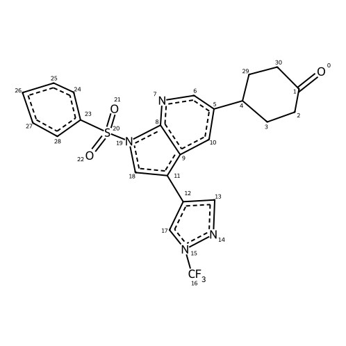 O=C1CCC(c2cnc3c(c2)c(-c2cnn(C(F)(F)F)c2)cn3S(=O)(=O)c2ccccc2)CC1